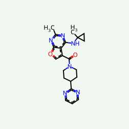 Cc1nc(NC2(C)CC2)c2c(C(=O)N3CCC(c4ncccn4)CC3)coc2n1